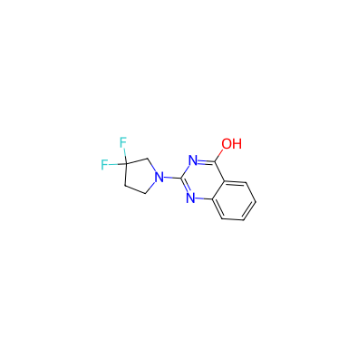 Oc1nc(N2CCC(F)(F)C2)nc2ccccc12